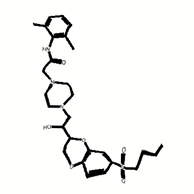 CCCCS(=O)(=O)c1ccc2c(c1)OC(C(O)CN1CCN(CC(=O)Nc3c(C)cccc3C)CC1)CO2